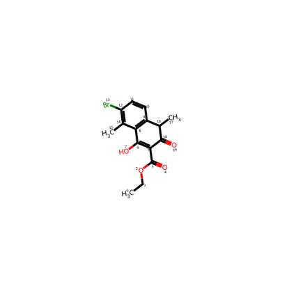 CCOC(=O)C1=C(O)c2c(ccc(Br)c2C)C(C)C1=O